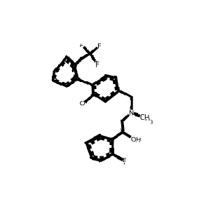 CN(Cc1ccc(-c2ccccc2C(F)(F)F)c(Cl)c1)CC(O)c1ccccc1F